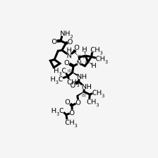 CC(C)OC(=O)OC[C@@H](NC(=O)N[C@H](C(=O)N1C[C@H]2[C@@H]([C@H]1C(=O)NC(CC1CCC1)C(=O)C(N)=O)C2(C)C)C(C)(C)C)C(C)C